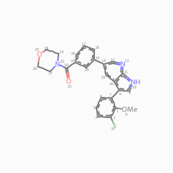 COc1c(F)cccc1-c1c[nH]c2ncc(-c3cccc(C(=O)N4CCOCC4)c3)cc12